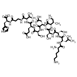 CC[C@H](C)[C@H](NC(=O)[C@H](CO)NC(=O)[C@H](CO)NC(=O)[C@H](CC(C)C)NC(=O)[C@@H](N)CCCCN)C(=O)N[C@@H](CC(=O)O)C(=O)N[C@@H](CO)C(=O)N[C@@H](CCC(=O)O)C(=O)N[C@H](C(=O)NCCC(=O)N[C@@H](Cc1c[nH]cn1)C(=O)O)C(C)C